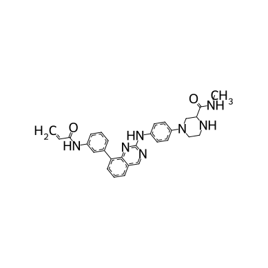 C=CC(=O)Nc1cccc(-c2cccc3cnc(Nc4ccc(N5CCNC(C(=O)NC)C5)cc4)nc23)c1